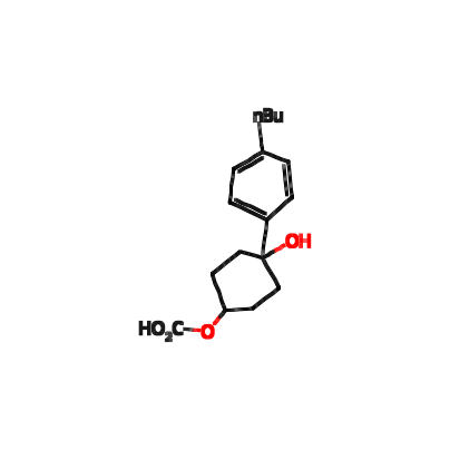 CCCCc1ccc(C2(O)CCC(OC(=O)O)CC2)cc1